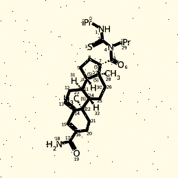 CC(C)NC(=S)N(C(=O)[C@H]1CC[C@H]2[C@@H]3CC=C4C=C(C(N)=O)CC[C@]4(C)[C@H]3CC[C@]12C)C(C)C